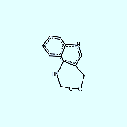 c1ccc2c3c(cnc2c1)COCCN3